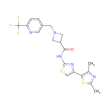 Cc1nc(C)c(-c2csc(NC(=O)C3CN(Cc4ccc(C(F)(F)F)nc4)C3)n2)s1